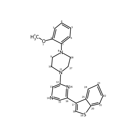 COc1ccccc1N1CCN(c2cncc(-c3csc4ccccc34)n2)CC1